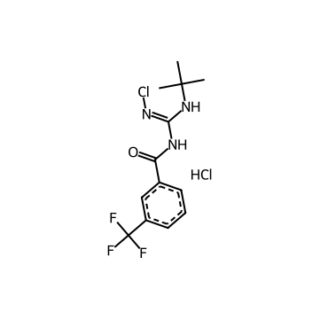 CC(C)(C)NC(=NCl)NC(=O)c1cccc(C(F)(F)F)c1.Cl